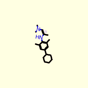 C/C(=C/N(C)C)Nc1c(C)cc(C2CCCCC2)cc1C